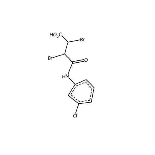 O=C(O)C(Br)C(Br)C(=O)Nc1cccc(Cl)c1